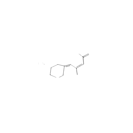 C=C(F)/C=C(F)\C=C1/COC[C@H](N)C1